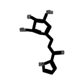 CC(C)(C)c1cc(CCC(=O)c2ccc[nH]2)cc(C(C)(C)C)c1Cl